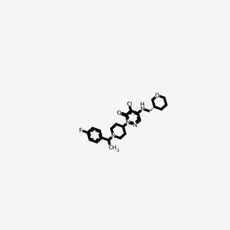 CC(c1ccc(F)cc1)N1CCC(n2ncc(NC[C@H]3CCCOC3)c(Cl)c2=O)CC1